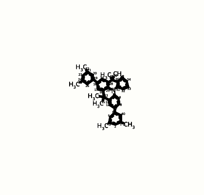 Cc1cc(C)cc(-c2ccc3c(c2)C(C)(C)c2cc(-c4cc(C)cc(C)c4)cc4c2N3c2ccccc2C4(C)C)c1